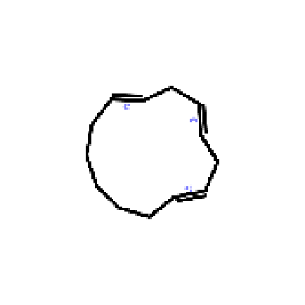 [C]1=C/CCCCC/C=C/C/C=C/C/1